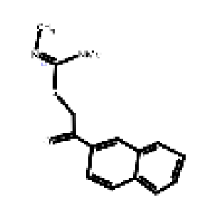 C/N=C(\NC)SCC(=O)c1ccc2ccccc2c1